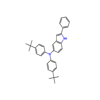 CC(C)(C)c1ccc(N(c2ccc(C(C)(C)C)cc2)c2ccc3[nH]c(-c4ccccc4)cc3c2)cc1